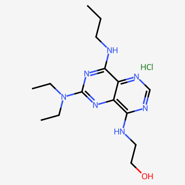 CCCNc1nc(N(CC)CC)nc2c(NCCO)ncnc12.Cl